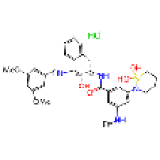 CCNc1cc(C(=O)N[C@@H](Cc2ccccc2)[C@H](O)CNCc2cc(OC)cc(OC)c2)cc(N2CCCCS2(O)O)c1.Cl